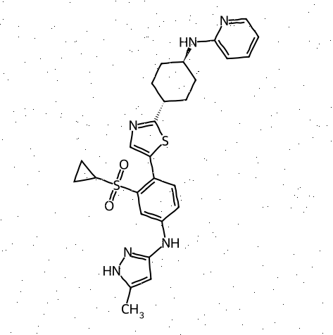 Cc1cc(Nc2ccc(-c3cnc([C@H]4CC[C@H](Nc5ccccn5)CC4)s3)c(S(=O)(=O)C3CC3)c2)n[nH]1